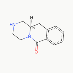 O=C1c2ccccc2C[C@@H]2CNCCN12